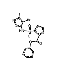 Cc1noc(NS(=O)(=O)c2ccsc2C(=O)Oc2ccccc2)c1Br